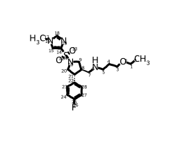 CCOCCCNC[C@@H]1CN(S(=O)(=O)c2cn(C)cn2)C[C@H]1c1ccc(F)cc1